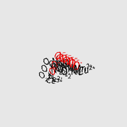 O=[N+]([O-])[O-].O=[N+]([O-])[O-].O=[N+]([O-])[O-].O=[N+]([O-])[O-].O=[N+]([O-])[O-].O=[N+]([O-])[O-].O=[N+]([O-])[O-].O=[N+]([O-])[O-].O=[N+]([O-])[O-].[Ce+3].[Cu+2].[Fe+2].[Mn+2]